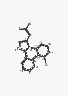 CC(C)=Cc1cnc2c3ccccc3c3c(C)cccc3n12